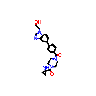 NC1(C(=O)N2CCN(C(=O)c3ccc(-c4ccc5c(c4)ncn5CCO)cc3)CC2)CC1